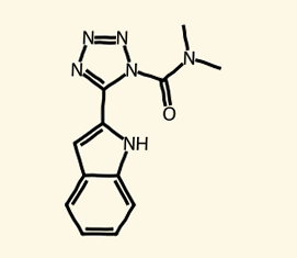 CN(C)C(=O)n1nnnc1-c1cc2ccccc2[nH]1